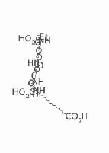 CC[C@H](NC(=O)CCCOCCOCCNC(=O)COCCOCCNC(=O)CC[C@H](NC(=O)CCCCCCCCCCCCCCCCCCC(=O)O)C(=O)O)C(=O)O